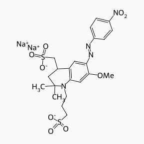 COc1cc2c(cc1N=Nc1ccc([N+](=O)[O-])cc1)C(CS(=O)(=O)[O-])CC(C)(C)N2CCCS(=O)(=O)[O-].[Na+].[Na+]